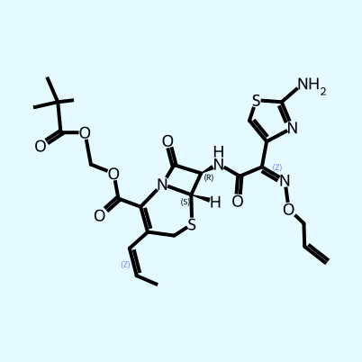 C=CCO/N=C(\C(=O)N[C@@H]1C(=O)N2C(C(=O)OCOC(=O)C(C)(C)C)=C(/C=C\C)CS[C@@H]12)c1csc(N)n1